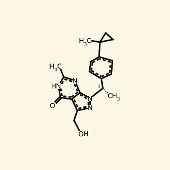 Cc1nc2c(c(CO)nn2[C@@H](C)c2ccc(C3(C)CC3)cc2)c(=O)[nH]1